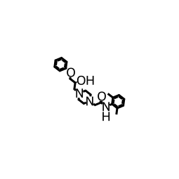 Cc1cccc(C)c1NC(=O)CN1CCN(C[C@@H](O)COc2ccccc2)CC1